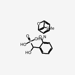 CSc1c2cccc1O2.O=[N+]([O-])c1ccccc1C(O)P(=O)(O)O